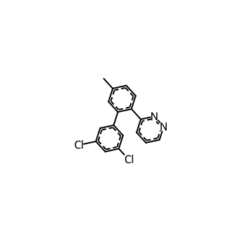 Cc1ccc(-c2cccnn2)c(-c2cc(Cl)cc(Cl)c2)c1